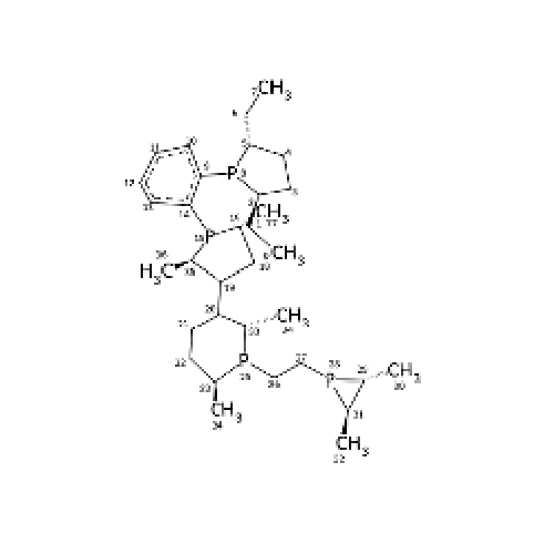 CC[C@@H]1CC[C@@H](CC)P1c1ccccc1P1[C@H](C)CC(C2CC[C@H](C)P(CCP3[C@H](C)[C@H]3C)[C@H]2C)[C@H]1C